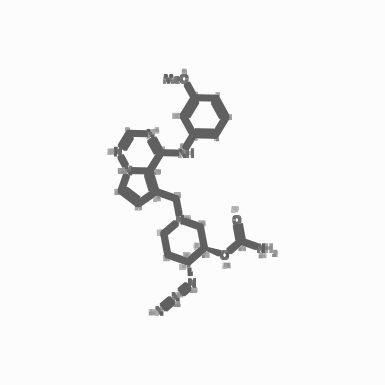 COc1cccc(Nc2ncnn3ccc(CN4CC[C@@H](N=[N+]=[N-])[C@H](OC(N)=O)C4)c23)c1